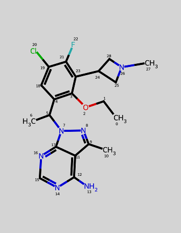 CCOc1c(C(C)n2nc(C)c3c(N)ncnc32)cc(Cl)c(F)c1C1CN(C)C1